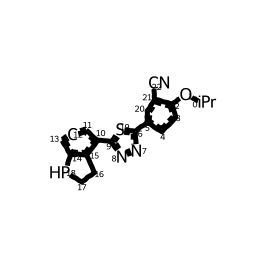 CC(C)Oc1ccc(-c2nnc(-c3cccc4c3CCP4)s2)cc1C#N